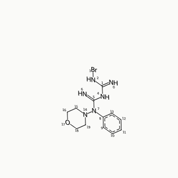 N=C(NBr)NC(=N)N(c1ccccc1)N1CCOCC1